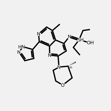 CC[SH](O)(CC)=Nc1cc(N2CCOC[C@H]2C)nc2c(-c3ccn[nH]3)ncc(C)c12